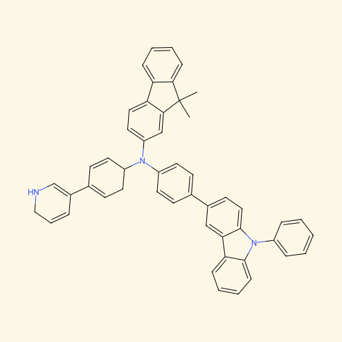 CC1(C)c2ccccc2-c2ccc(N(c3ccc(-c4ccc5c(c4)c4ccccc4n5-c4ccccc4)cc3)C3C=CC(C4=CNCC=C4)=CC3)cc21